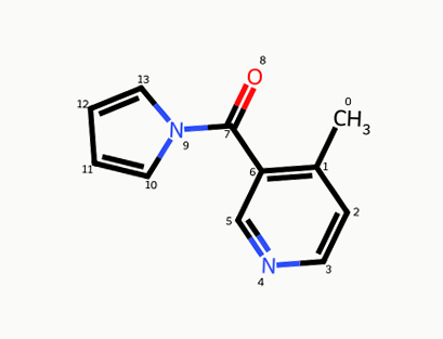 Cc1ccncc1C(=O)n1cccc1